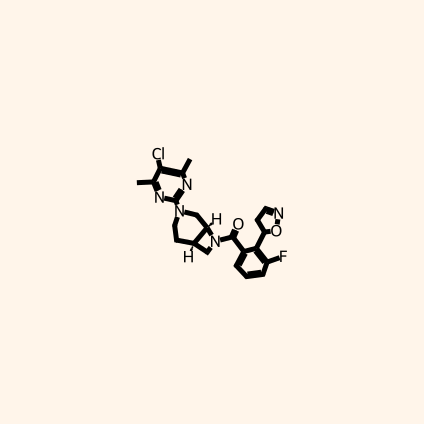 Cc1nc(N2CC[C@@H]3CN(C(=O)c4cccc(F)c4C4CC=NO4)[C@@H]3C2)nc(C)c1Cl